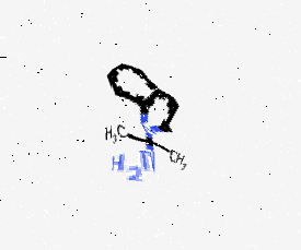 CC(C)(N)n1ccc2ccccc21